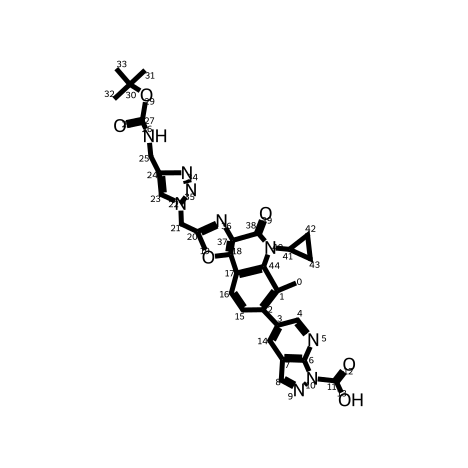 Cc1c(-c2cnc3c(cnn3C(=O)O)c2)ccc2c3oc(Cn4cc(CNC(=O)OC(C)(C)C)nn4)nc3c(=O)n(C3CC3)c12